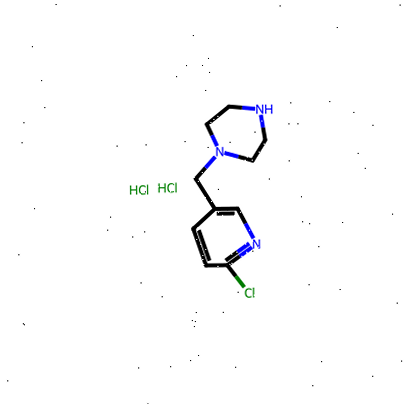 Cl.Cl.Clc1ccc(CN2CCNCC2)cn1